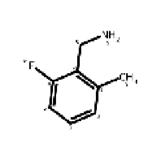 Cc1cccc(F)c1CN